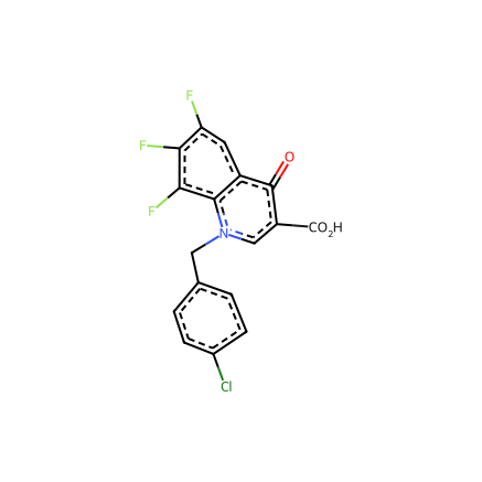 O=C(O)c1cn(Cc2ccc(Cl)cc2)c2c(F)c(F)c(F)cc2c1=O